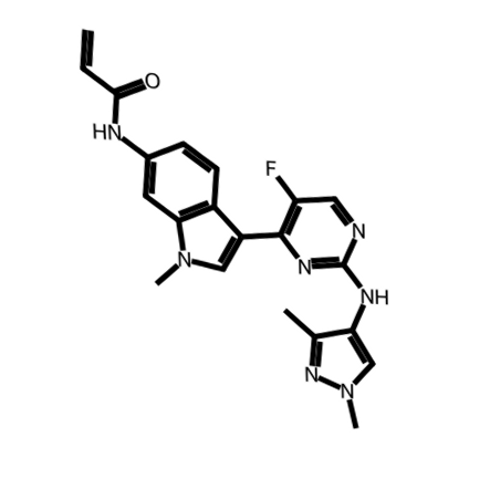 C=CC(=O)Nc1ccc2c(-c3nc(Nc4cn(C)nc4C)ncc3F)cn(C)c2c1